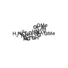 COC(=O)COP(=O)(N[C@@H](CC(C)C)C(=O)OC)OC[C@H]1O[C@@H](n2ccc(N)nc2=O)[C@@H](O)[C@@H]1O